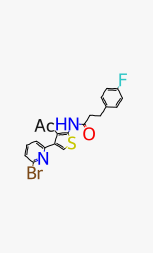 CC(=O)c1c(-c2cccc(Br)n2)csc1NC(=O)CCc1ccc(F)cc1